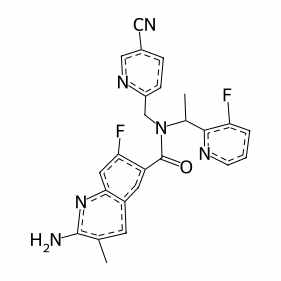 Cc1cc2cc(C(=O)N(Cc3ccc(C#N)cn3)C(C)c3ncccc3F)c(F)cc2nc1N